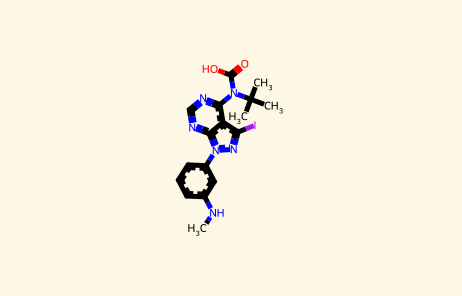 CNc1cccc(-n2nc(I)c3c(N(C(=O)O)C(C)(C)C)ncnc32)c1